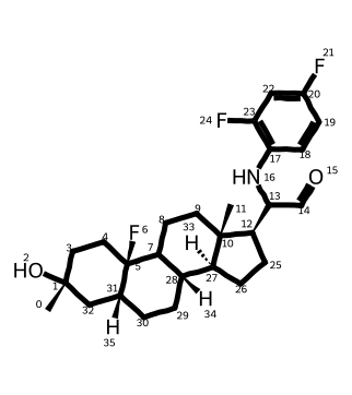 C[C@@]1(O)CC[C@]2(F)C3CC[C@]4(C)[C@@H](C(C=O)Nc5ccc(F)cc5F)CC[C@H]4[C@@H]3CC[C@@H]2C1